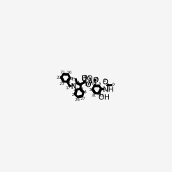 CC(=O)Nc1cc([As](=O)(O)OC(=O)c2c(C)n(Cc3ccccc3)c3ccccc23)ccc1O